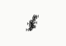 O=C(O)Oc1cccc(-c2cccc(NN=C3C(=O)N(C4CCNCC4)c4ccccc43)c2O)c1